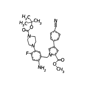 COC(=O)c1cc(-c2ccc(C#N)cc2)cn1Cc1cc(N2CCN(C(=O)OC(C)(C)C)CC2)c(F)cc1N